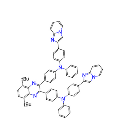 CC(C)(C)c1ccc(C(C)(C)C)c2nc(-c3ccc(N(c4ccccc4)c4ccc(-c5cn6ccccc6n5)cc4)cc3)c(-c3ccc(N(c4ccccc4)c4ccc(-c5cn6ccccc6n5)cc4)cc3)nc12